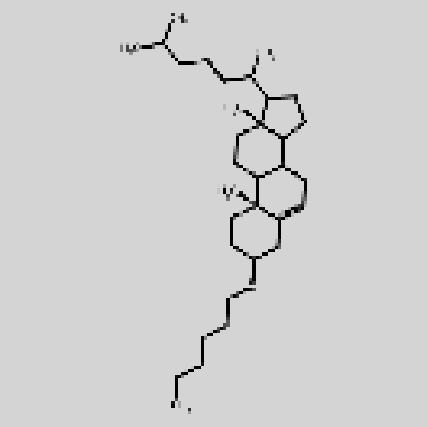 CCCCCCO[C@H]1CC[C@@]2(C)C(=CCC3C4CCC(C(C)CCCC(C)C)[C@@]4(C)CCC32)C1